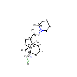 C[C@H](CN1CCCC[C@@H]1C)[C@H]1CC[C@H]2/C(=C/Br)CCC[C@]12C